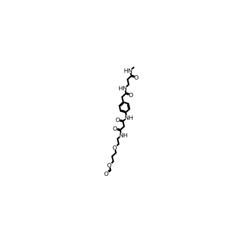 CNC(=O)CCNC(=O)Cc1ccc(NC(=O)CC(=O)NCCOCCCOC=O)cc1